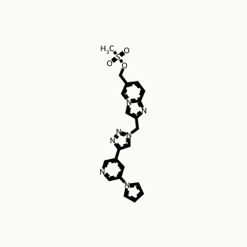 CS(=O)(=O)OCc1ccc2nc(Cn3cc(-c4cncc(-n5cccc5)c4)nn3)cn2c1